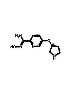 NC(=NO)c1ccc(O[C@H]2CCNC2)cn1